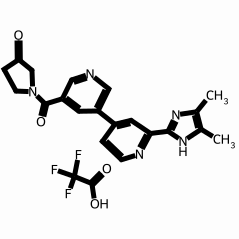 Cc1nc(-c2cc(-c3cncc(C(=O)N4CCC(=O)C4)c3)ccn2)[nH]c1C.O=C(O)C(F)(F)F